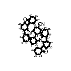 N#Cc1ccc(-c2ccccc2-n2c3ccccc3c3ccc4oc5ccccc5c4c32)c(-n2c3ccccc3c3ccc4oc5ccccc5c4c32)c1